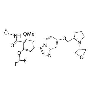 COc1cc(-c2cnc3cc(OCC4CCCN4C4COC4)ccn23)cc(OC(F)F)c1C(=O)NC1CC1